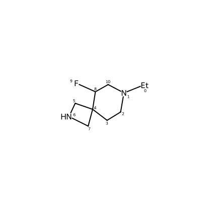 CCN1CCC2(CNC2)C(F)C1